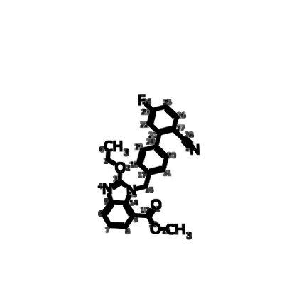 CCOc1nc2cccc(C(=O)OC)c2n1Cc1ccc(-c2cc(F)ccc2C#N)cc1